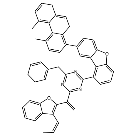 C=C(c1nc(CC2=CCCC=C2)nc(-c2cccc3oc4ccc(-c5ccc(C)c6c5CC=C5CC=CC(C)=C56)cc4c23)n1)c1oc2ccccc2c1/C=C\C